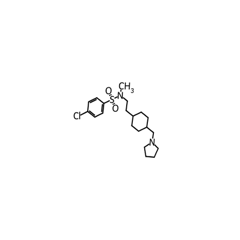 CN(CCC1CCC(CN2CCCC2)CC1)S(=O)(=O)c1ccc(Cl)cc1